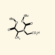 CC(C(=O)OC(C)(C)C)N(CC(=O)O)C(=O)OC(C)(C)C